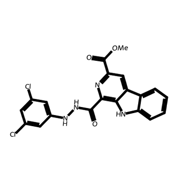 COC(=O)c1cc2c([nH]c3ccccc32)c(C(=O)NNc2cc(Cl)cc(Cl)c2)n1